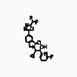 O=C1c2cc(-c3nnc(C(F)F)o3)ccc2CN1C(C1CC1)C(O)c1cccc(F)n1